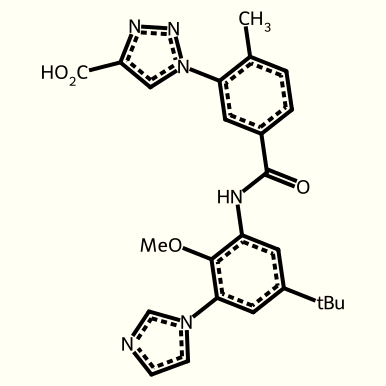 COc1c(NC(=O)c2ccc(C)c(-n3cc(C(=O)O)nn3)c2)cc(C(C)(C)C)cc1-n1ccnc1